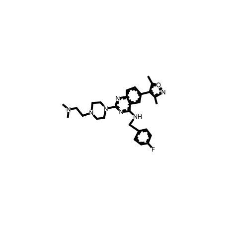 Cc1noc(C)c1-c1ccc2nc(N3CCN(CCN(C)C)CC3)nc(NCc3ccc(F)cc3)c2c1